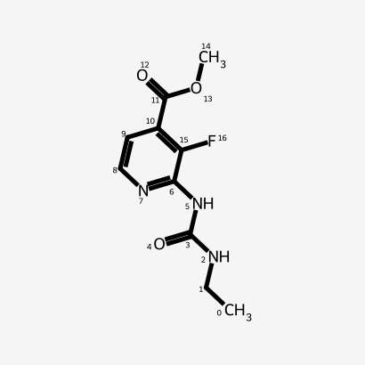 CCNC(=O)Nc1nccc(C(=O)OC)c1F